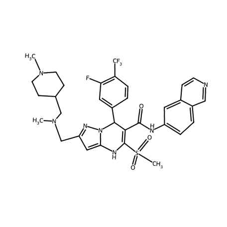 CN1CCC(CN(C)Cc2cc3n(n2)C(c2ccc(C(F)(F)F)c(F)c2)C(C(=O)Nc2ccc4cnccc4c2)=C(S(C)(=O)=O)N3)CC1